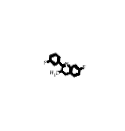 CC1Cc2ccc(F)cc2N=C1c1cccc(F)c1